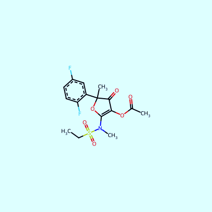 CCS(=O)(=O)N(C)C1=C(OC(C)=O)C(=O)C(C)(c2cc(F)ccc2F)O1